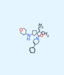 CC(C)[C@]1(C(=O)N2CC=C(c3ccccc3)CC2)CCC(NC2CCOCC2)C1